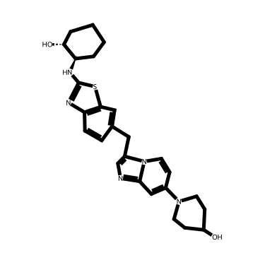 OC1CCN(c2ccn3c(Cc4ccc5nc(N[C@@H]6CCCC[C@H]6O)sc5c4)cnc3c2)CC1